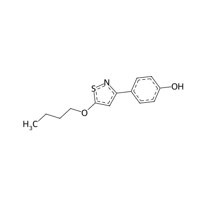 CCCCOc1cc(-c2ccc(O)cc2)ns1